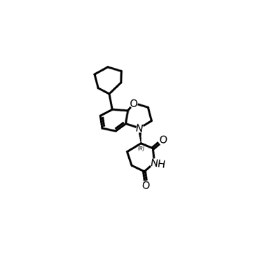 O=C1CC[C@@H](N2CCOC3C2=CC=CC3C2CCCCC2)C(=O)N1